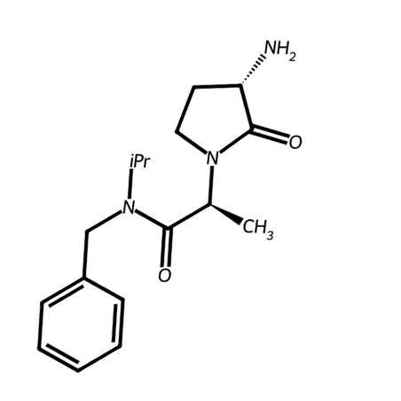 CC(C)N(Cc1ccccc1)C(=O)[C@H](C)N1CC[C@H](N)C1=O